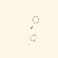 CNc1c(Cl)n(CC#Cc2cccc(O)c2)c(=O)n(C)c1=O